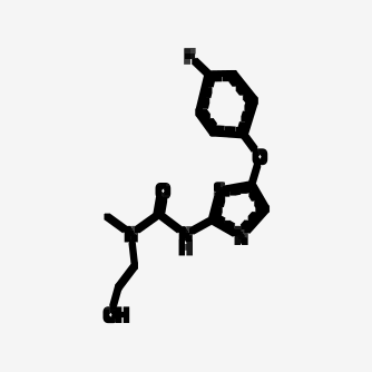 CN(CCO)C(=O)Nc1ncc(Oc2ccc(F)cc2)s1